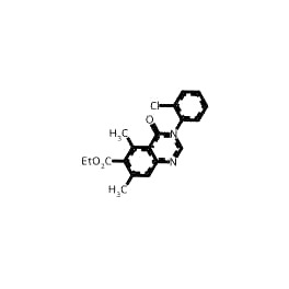 CCOC(=O)c1c(C)cc2ncn(-c3ccccc3Cl)c(=O)c2c1C